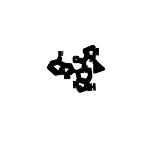 O=C(c1ccnn1C1CC1)N1CCc2[nH]cnc2[C@H]1c1cc2c(F)cccn2n1